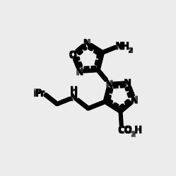 CC(C)CNCc1c(C(=O)O)nnn1-c1nonc1N